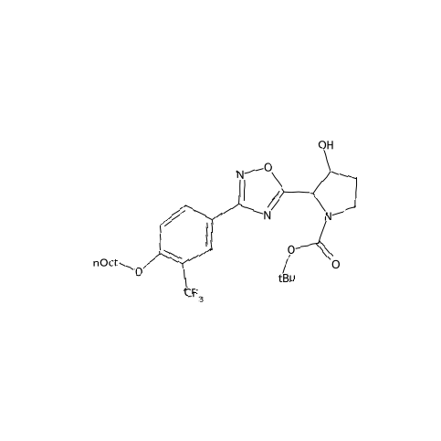 CCCCCCCCOc1ccc(-c2noc(C3C(O)CCN3C(=O)OC(C)(C)C)n2)cc1C(F)(F)F